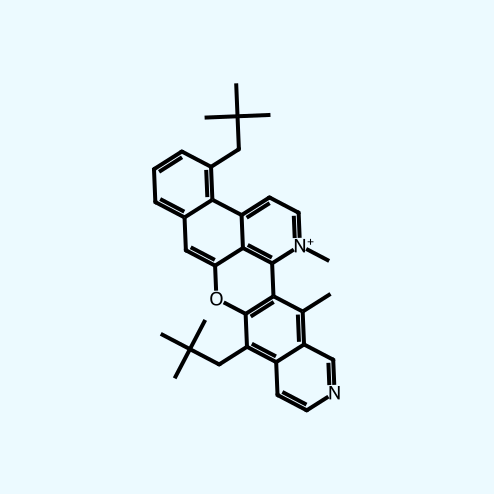 Cc1c2c(c(CC(C)(C)C)c3ccncc13)Oc1cc3cccc(CC(C)(C)C)c3c3cc[n+](C)c-2c13